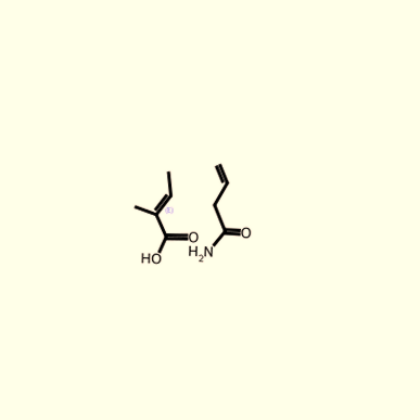 C/C=C(\C)C(=O)O.C=CCC(N)=O